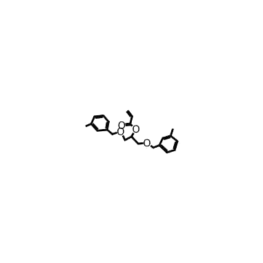 C=CC(=O)OC(COCc1cccc(C)c1)COCc1cccc(C)c1